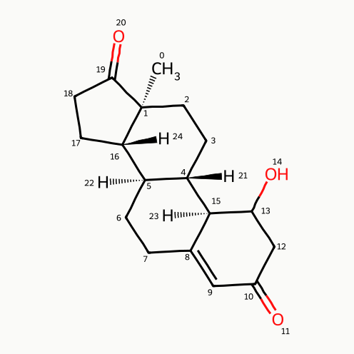 C[C@]12CC[C@H]3[C@@H](CCC4=CC(=O)CC(O)[C@@H]43)[C@@H]1CCC2=O